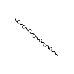 CCCCOCCOCCOCCOCCOCCOCCOCC